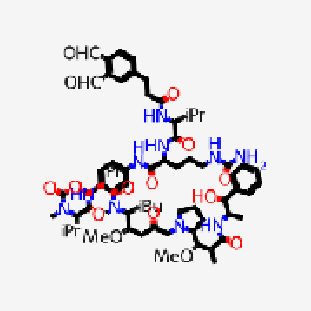 CCC(C)C(C(CC(=O)CN1CCCC1C(OC)C(C)C(=O)NC(C)C(O)c1ccccc1)OC)N(C)C(=O)C(NC(=O)C(C(C)C)N(C)C(=O)OCc1ccc(NC(=O)C(CCCNC(N)=O)NC(=O)C(NC(=O)CCc2ccc(C=O)c(C=O)c2)C(C)C)cc1)C(C)C